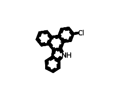 Clc1ccc2c3ccccc3c3c4ccccc4[nH]c3c2c1